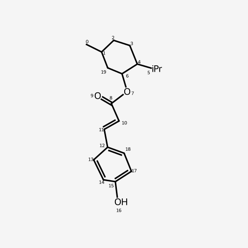 CC1CCC(C(C)C)C(OC(=O)C=Cc2ccc(O)cc2)C1